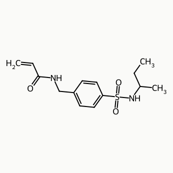 C=CC(=O)NCc1ccc(S(=O)(=O)NC(C)CC)cc1